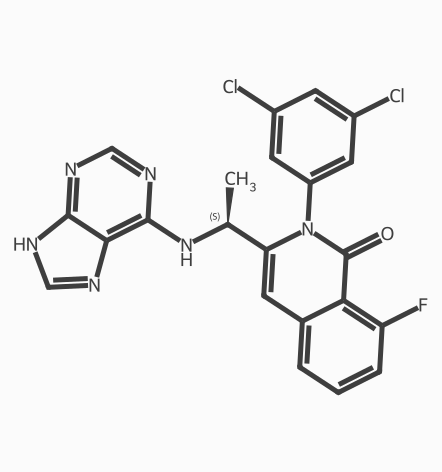 C[C@H](Nc1ncnc2[nH]cnc12)c1cc2cccc(F)c2c(=O)n1-c1cc(Cl)cc(Cl)c1